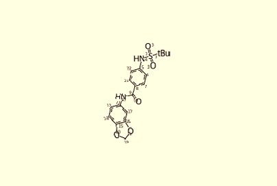 CC(C)(C)S(=O)(=O)Nc1ccc(C(=O)Nc2ccc3c(c2)OCO3)cc1